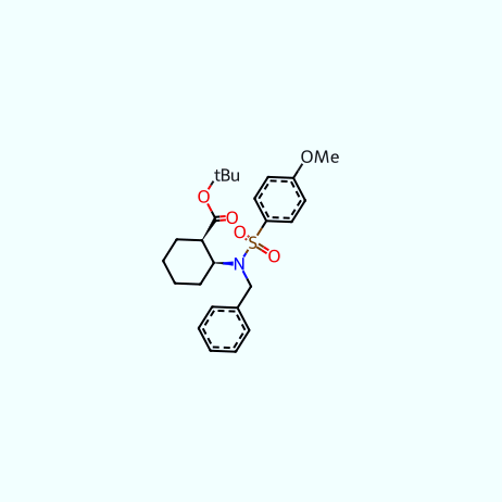 COc1ccc(S(=O)(=O)N(Cc2ccccc2)[C@H]2CCCC[C@H]2C(=O)OC(C)(C)C)cc1